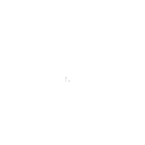 CC(CCOCC[N]CCOCCC(C)CC(C)(C)C)CC(C)(C)C